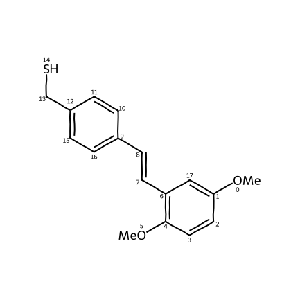 COc1ccc(OC)c(C=Cc2ccc(CS)cc2)c1